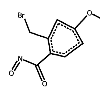 COc1ccc(C(=O)N=O)c(CBr)c1